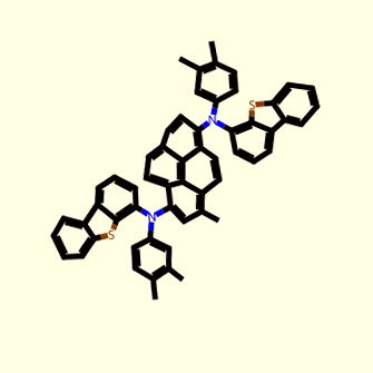 Cc1ccc(N(c2ccc3ccc4c(N(c5ccc(C)c(C)c5)c5cccc6c5sc5ccccc56)cc(C)c5ccc2c3c54)c2cccc3c2sc2ccccc23)cc1C